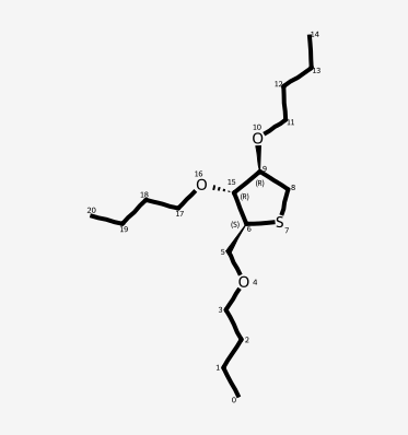 CCCCOC[C@@H]1SC[C@H](OCCCC)[C@H]1OCCCC